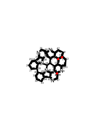 c1ccc2c(C(c3ccnc4ccccc34)C3n4c5nccnc5c5cccc(c54)-c4cccc5c6nccnc6n3c45)ccnc2c1